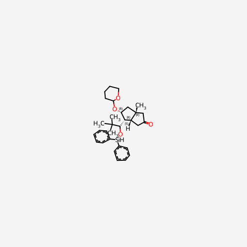 CC(C)(C)C(O[SiH](c1ccccc1)c1ccccc1)[C@H]1[C@H]2CC(=O)C[C@@]2(C)C[C@H]1OC1CCCCO1